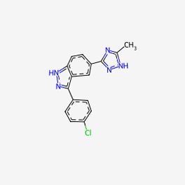 Cc1nc(-c2ccc3[nH]nc(-c4ccc(Cl)cc4)c3c2)n[nH]1